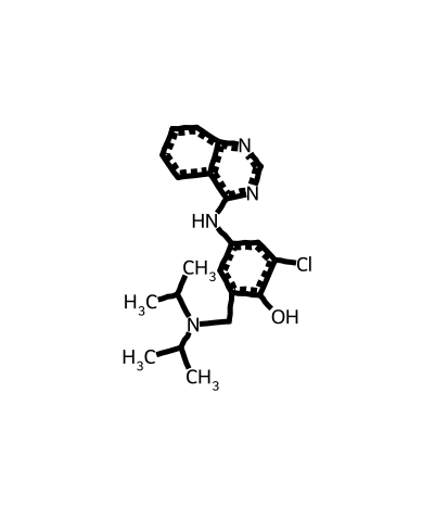 CC(C)N(Cc1cc(Nc2ncnc3ccccc23)cc(Cl)c1O)C(C)C